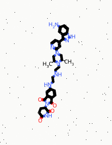 C[C@@H]1CN(c2cc(-c3n[nH]c4ccc(N)cc34)ccn2)C[C@H](C)N1CCNCCNc1ccc2c(c1)C(=O)N(C1CCC(=O)NC1=O)C2=O